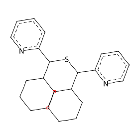 c1ccc(C(SC(c2ccccn2)C2CCCCC2)C2CCCCC2)nc1